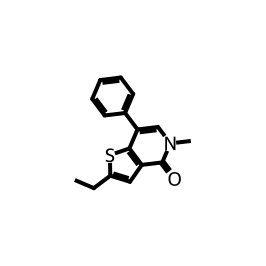 CCc1cc2c(=O)n(C)cc(-c3ccccc3)c2s1